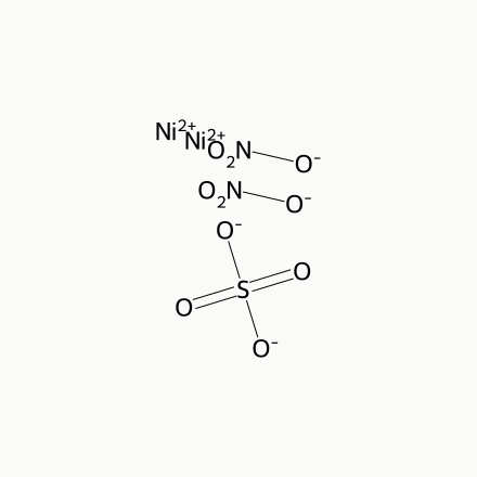 O=S(=O)([O-])[O-].O=[N+]([O-])[O-].O=[N+]([O-])[O-].[Ni+2].[Ni+2]